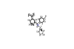 Cc1ccc(/C(=C\CN2CCCC2)c2cc(C(F)F)ccn2)cc1